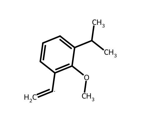 C=[C]c1cccc(C(C)C)c1OC